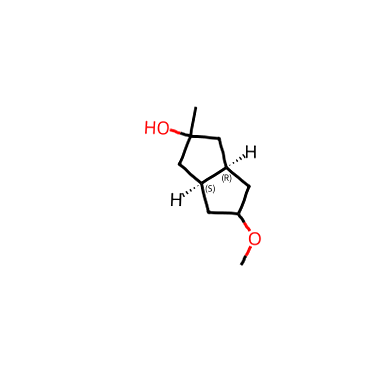 COC1C[C@@H]2CC(C)(O)C[C@@H]2C1